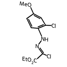 CCOC(=O)C(Cl)=NNc1ccc(OC)cc1Cl